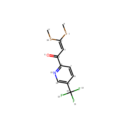 CSC(=CC(=O)c1ccc(C(F)(F)F)cn1)SC